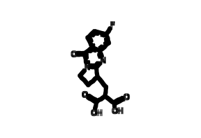 O=C(O)C(CC1CCn2c1nc1cc(F)ccc1c2=O)C(=O)O